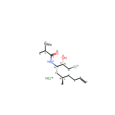 C=CCC[C@@H](C)C[C@H](NC(=O)C(C)NC)[C@H](O)CCl.Cl